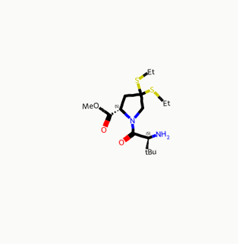 CCSC1(SCC)C[C@@H](C(=O)OC)N(C(=O)[C@@H](N)C(C)(C)C)C1